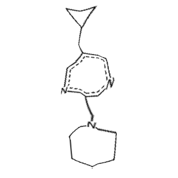 [CH]1CCN(c2ncc(C3CC3)cn2)CC1